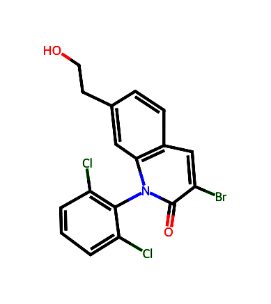 O=c1c(Br)cc2ccc(CCO)cc2n1-c1c(Cl)cccc1Cl